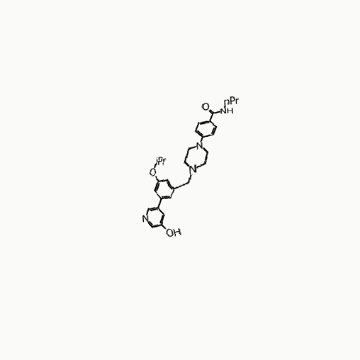 CCCNC(=O)c1ccc(N2CCN(Cc3cc(OC(C)C)cc(-c4cncc(O)c4)c3)CC2)cc1